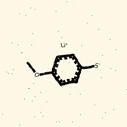 COc1ccc([S-])cc1.[Li+]